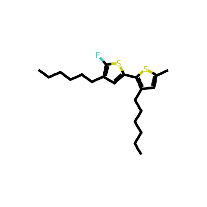 CCCCCCc1cc(-c2sc(C)cc2CCCCCC)sc1F